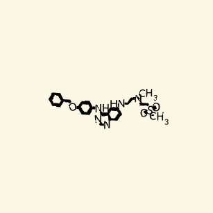 CN(CCNc1ccc2ncnc(Nc3ccc(OCc4ccccc4)cc3)c2c1)CCS(C)(=O)=O